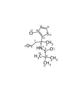 CC(CC=O)(N[S+]([O-])C(C)(C)C)c1sccc1Cl